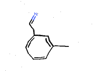 Cc1cccc(C=[N])c1